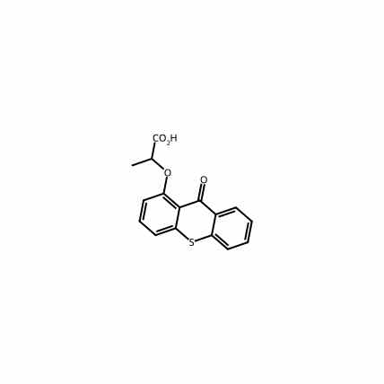 CC(Oc1cccc2sc3ccccc3c(=O)c12)C(=O)O